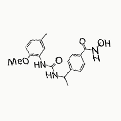 COc1ccc(C)cc1NC(=O)NC(C)c1ccc(C(=O)NO)cc1